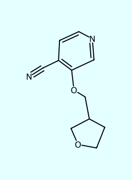 N#Cc1ccncc1OCC1CCOC1